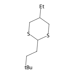 CCC1CSC(CCC(C)(C)C)SC1